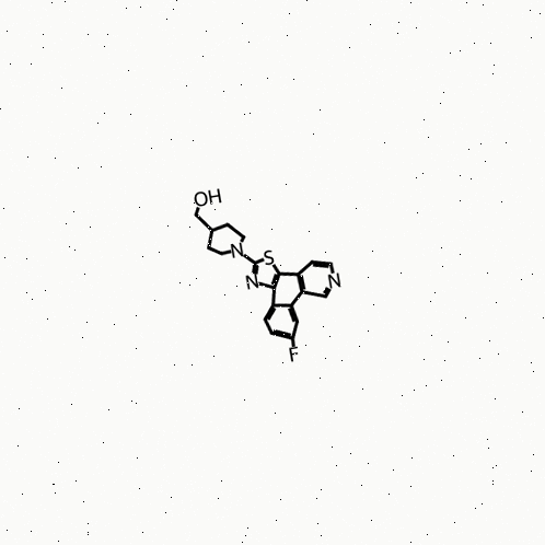 OCC1CCN(c2nc3c4ccc(F)cc4c4cnccc4c3s2)CC1